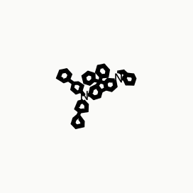 C1=CC(c2ccccc2)CC=C1N(c1ccc(-c2ccccc2)cc1)c1ccc2c(c1)C(c1ccccc1)(c1ccccc1)c1cc(-n3ccc4ccccc43)ccc1-2